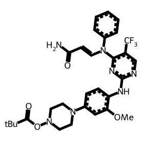 COc1cc(N2CCN(OC(=O)C(C)(C)C)CC2)ccc1Nc1ncc(C(F)(F)F)c(N(C=CC(N)=O)c2ccccc2)n1